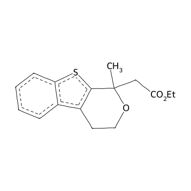 CCOC(=O)CC1(C)OCCc2c1sc1ccccc21